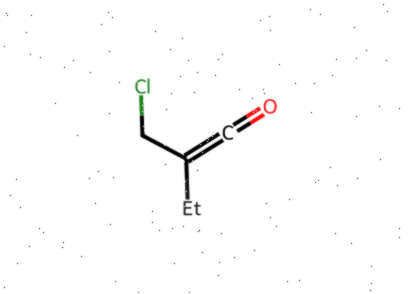 CCC(=C=O)CCl